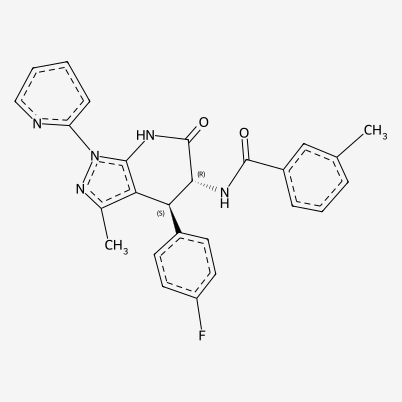 Cc1cccc(C(=O)N[C@H]2C(=O)Nc3c(c(C)nn3-c3ccccn3)[C@@H]2c2ccc(F)cc2)c1